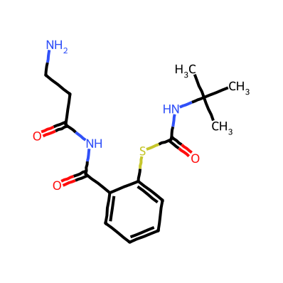 CC(C)(C)NC(=O)Sc1ccccc1C(=O)NC(=O)CCN